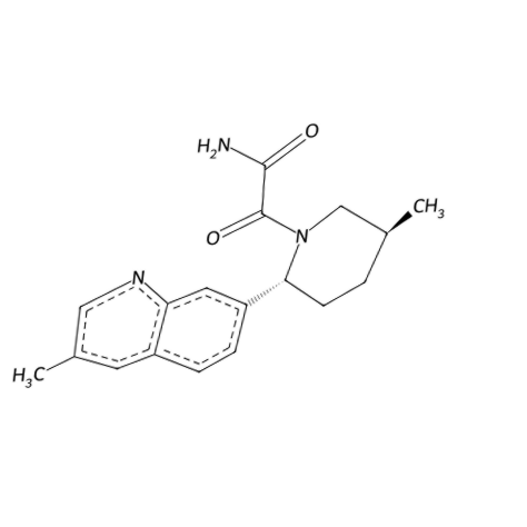 Cc1cnc2cc([C@H]3CC[C@H](C)CN3C(=O)C(N)=O)ccc2c1